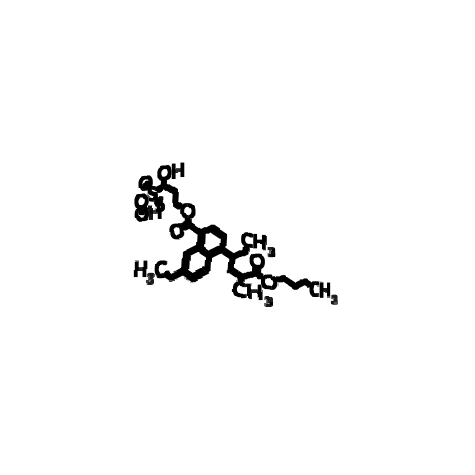 CCCCOC(=O)C(C)CC(CC)c1ccc(C(=O)OCCC(O)S(=O)(=S)OO)c2cc(CC)ccc12